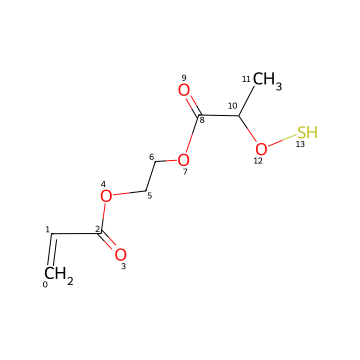 C=CC(=O)OCCOC(=O)C(C)OS